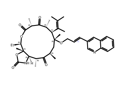 CC[C@H]1OC(=O)[C@H](C)C(=O)[C@H](C)[C@@H](C(C)=C(C)C)[C@](C)(OC/C=C/c2cnc3ccccc3c2)C[C@@H](C)C(=O)[C@H](C)[C@H]2NC(=O)O[C@@]21C